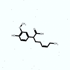 CC/C=C\CCC(C(=O)O)c1ccc(O)c(OC)c1